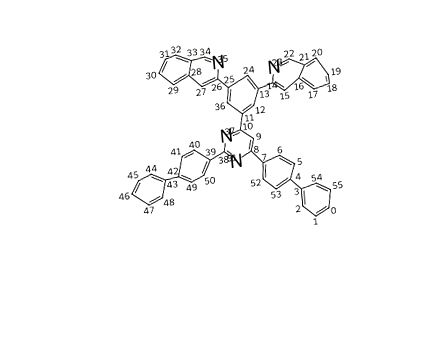 c1ccc(-c2ccc(-c3cc(-c4cc(-c5cc6ccccc6cn5)cc(-c5cc6ccccc6cn5)c4)nc(-c4ccc(-c5ccccc5)cc4)n3)cc2)cc1